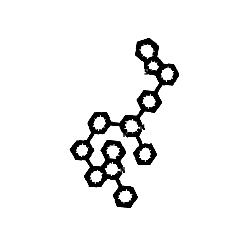 c1ccc(-c2nc(-c3ccc(-c4cccc5c4sc4ccccc45)cc3)cc(-c3cccc(-c4cccc(-c5cccc6c(-c7ccccc7)nc7ccccc7c56)c4)c3)n2)cc1